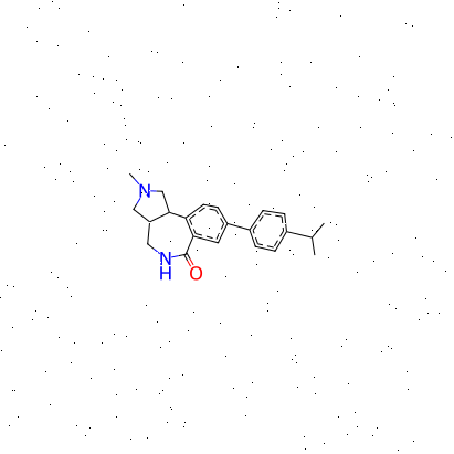 CC(C)c1ccc(-c2ccc3c(c2)C(=O)NCC2CN(C)CC32)cc1